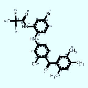 Cc1cc(C)c(C(=O)c2ccc(Nc3ccc(Br)cc3NC(=O)C(F)(F)F)cc2Cl)cc1C